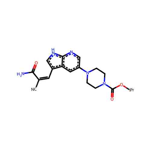 CC(C)OC(=O)N1CCN(c2cnc3[nH]cc(C=C(C#N)C(N)=O)c3c2)CC1